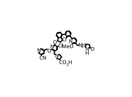 COc1nc(-c2cccc(-c3cccc4c3CC[C@@H]4Oc3nc(OCc4cncc(C#N)c4)c(CN4CC[C@@H](C(=O)O)C4)cc3Cl)c2Cl)ccc1CNC[C@@H]1CCC(=O)N1